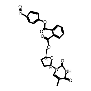 Cc1cn([C@H]2CC[C@@H](COC(=O)c3ccccc3C(=O)Oc3ccc(N=O)cc3)O2)c(=O)[nH]c1=O